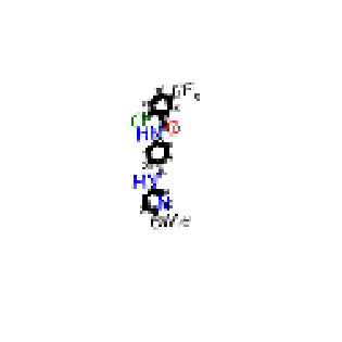 COc1ccc(NC[C@H]2CC[C@H](NC(=O)c3cc(C(F)(F)F)ccc3Cl)CC2)cn1